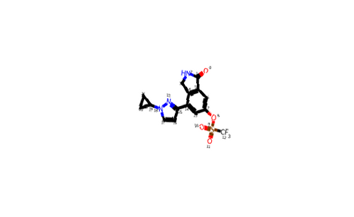 O=C1NCc2c1cc(OS(=O)(=O)C(F)(F)F)cc2-c1ccn(C2CC2)n1